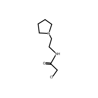 O=C(CCl)NCCN1CCCC1